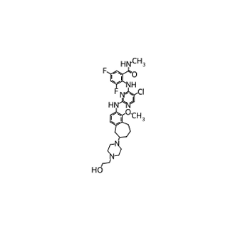 CNC(=O)c1cc(F)cc(F)c1Nc1nc(Nc2ccc3c(c2OC)CCCC(N2CCN(CCO)CC2)C3)ncc1Cl